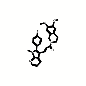 COc1cc2c(cc1OC)CN(C(=O)/C=C/c1c(-c3ccc(F)cc3)n(C)c3ncccc13)CC2